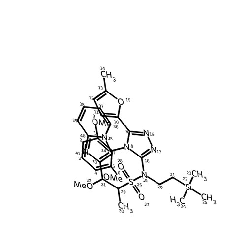 COc1cccc(OC)c1-n1c(-c2ccc(C)o2)nnc1N(CC[Si](C)(C)C)S(=O)(=O)C(C)C(OC)c1cn2ccccc2n1